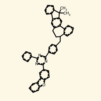 CC1(C)c2ccccc2-c2cc3c(cc21)-c1ccccc1C(Cc1ccc(-c2nc(-c4ccccc4)nc(-c4ccc5oc6ccccc6c5c4)n2)cc1)CC3